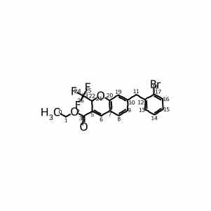 CCOC(=O)C1=Cc2ccc(Cc3ccccc3Br)cc2OC1C(F)(F)F